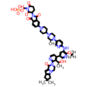 [2H]C([2H])([2H])Oc1ncc(-c2ccnc(N3CCn4c(cc5c4CC(C)(C)C5)C3=O)c2[C@H](C)O)cc1Nc1ccc(N2CCN(C3CCN(c4ccc5c(c4)C(=O)N(C4CCC(=O)N(COP(=O)(O)O)C4=O)C5=O)CC3)C[C@@H]2C)cn1